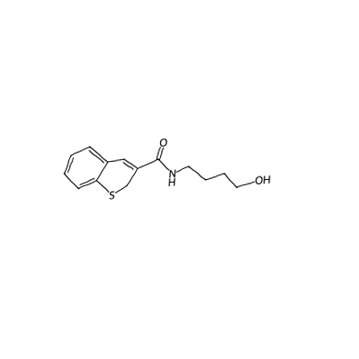 O=C(NCCCCO)C1=Cc2ccccc2SC1